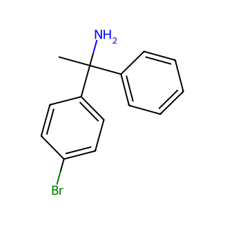 CC(N)(c1ccccc1)c1ccc(Br)cc1